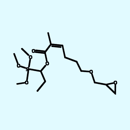 CCC(OC(=O)C(C)=CCCCOCC1CO1)[Si](OC)(OC)OC